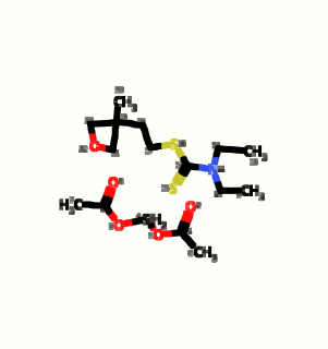 CC(=O)O[SiH2]OC(C)=O.CCN(CC)C(=S)SCCC1(C)COC1